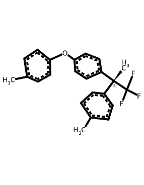 Cc1ccc(Oc2ccc([C@@](C)(c3ccc(C)cc3)C(F)(F)F)cc2)cc1